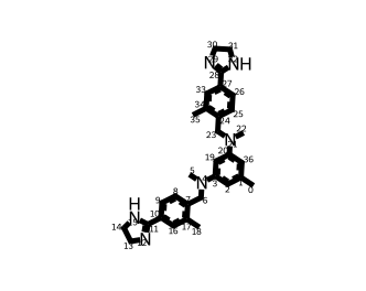 Cc1cc(N(C)Cc2ccc(C3=NCCN3)cc2C)cc(N(C)Cc2ccc(C3=NCCN3)cc2C)c1